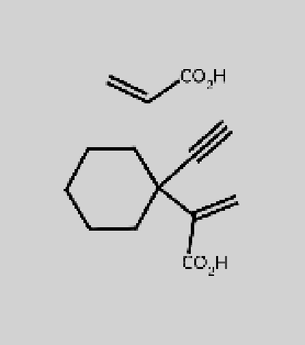 C#CC1(C(=C)C(=O)O)CCCCC1.C=CC(=O)O